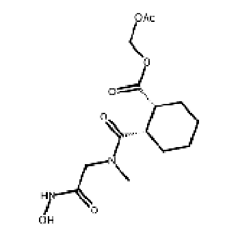 CC(=O)OCOC(=O)[C@@H]1CCCC[C@@H]1C(=O)N(C)CC(=O)NO